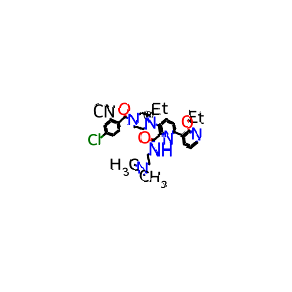 CCOc1ncccc1-c1ccc(N2CCN(C(=O)c3ccc(Cl)cc3C#N)C[C@H]2CC)c(C(=O)NCCN(C)C)n1